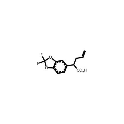 C=CCC(C(=O)O)c1ccc2c(c1)OC(F)(F)O2